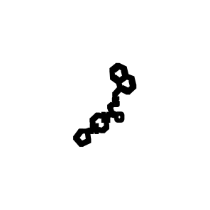 O=C(CSCc1cccc2ccccc12)N1CCN(C2CCCC2)CC1